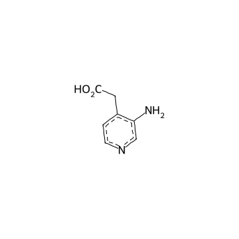 Nc1cnccc1CC(=O)O